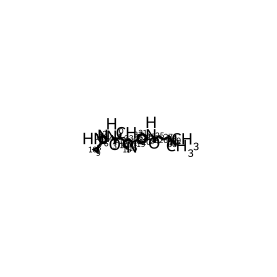 CC(C(=O)Nc1cc(C2CC2)[nH]n1)c1ccnc(-c2ccc(NC(=O)/C=C/CN(C)C)cc2)c1